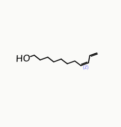 C=C/C=C\CCCCCCCO